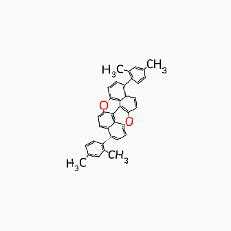 Cc1ccc(-c2ccc3oc4ccc5c(-c6ccc(C)cc6C)ccc6oc7ccc2c3c7-c4c65)c(C)c1